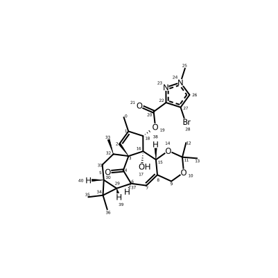 CC1=C[C@]23C(=O)[C@@H](C=C4COC(C)(C)O[C@H]4[C@]2(O)[C@H]1OC(=O)c1nn(C)cc1Br)[C@H]1[C@@H](C[C@H]3C)C1(C)C